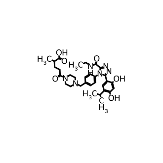 CCNC(=O)c1nnc(-c2cc(C(C)C)c(O)cc2O)n1-c1ccc(CN2CCN(C(=O)CCC(C)C(=O)O)CC2)cc1